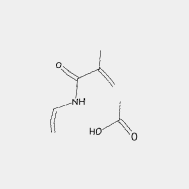 C=CNC(=O)C(=C)C.CC(=O)O